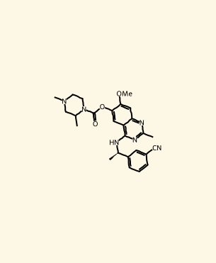 COc1cc2nc(C)nc(N[C@H](C)c3cccc(C#N)c3)c2cc1OC(=O)N1CCN(C)CC1C